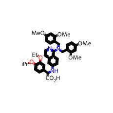 CCOc1cc(C(Nc2ccc3c(N(Cc4ccc(OC)cc4OC)Cc4ccc(OC)cc4OC)nccc3c2)C(=O)O)ccc1OC(C)C